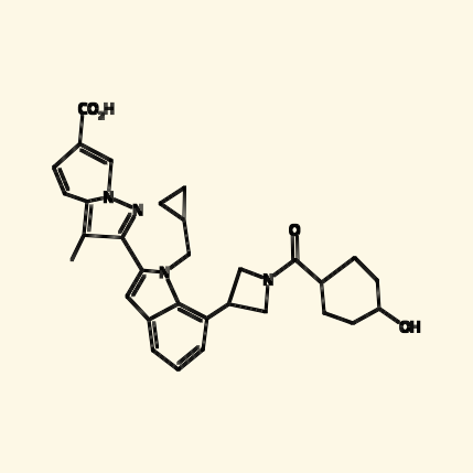 Cc1c(-c2cc3cccc(C4CN(C(=O)C5CCC(O)CC5)C4)c3n2CC2CC2)nn2cc(C(=O)O)ccc12